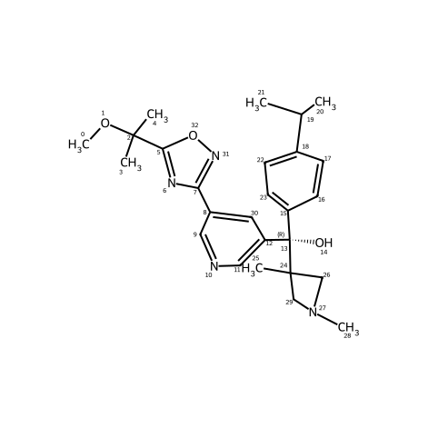 COC(C)(C)c1nc(-c2cncc([C@@](O)(c3ccc(C(C)C)cc3)C3(C)CN(C)C3)c2)no1